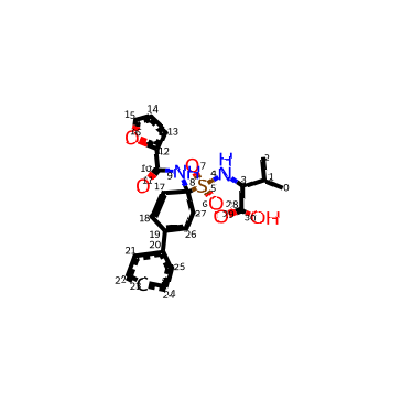 CC(C)C(NS(=O)(=O)C1(NC(=O)c2ccco2)C=CC(c2ccccc2)=CC1)C(=O)O